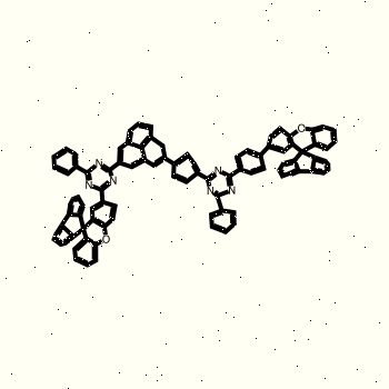 C1=C(c2ccc(-c3nc(-c4ccccc4)nc(-c4ccc(-c5ccc6c(c5)C5(c7ccccc7O6)c6ccccc6-c6ccccc65)cc4)n3)cc2)Cc2cccc3cc(-c4nc(-c5ccccc5)nc(-c5ccc6c(c5)C5(c7ccccc7O6)c6ccccc6-c6ccccc65)n4)cc1c23